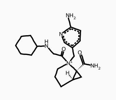 NC(=O)[C@]12C[C@H]1CCC[N+]2(Cc1ccc(N)nc1)C(=O)CNC1CCCCC1